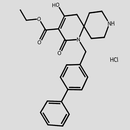 CCOC(=O)C1=C(O)CC2(CCNCC2)N(Cc2ccc(-c3ccccc3)cc2)C1=O.Cl